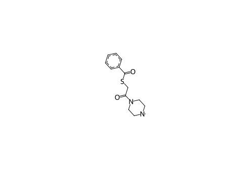 O=C(SCC(=O)N1CC[N]CC1)c1ccccc1